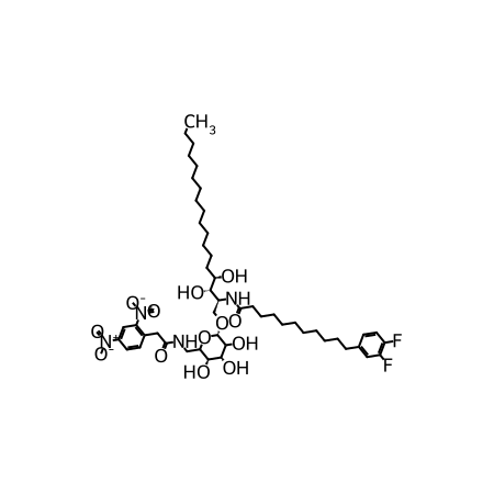 CCCCCCCCCCCCCC[C@@H](O)[C@@H](O)[C@H](CO[C@H]1OC(CNC(=O)Cc2ccc([N+](=O)[O-])cc2[N+](=O)[O-])[C@H](O)[C@H](O)C1O)NC(=O)CCCCCCCCCCc1ccc(F)c(F)c1